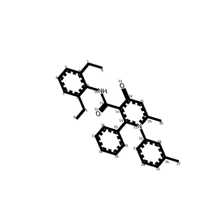 CCc1cccc(CC)c1NC(=O)c1c(-c2ccccc2)n(-c2cccc(C)c2)c(C)cc1=O